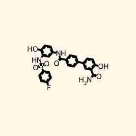 NC(=O)c1cc(-c2ccc(C(=O)Nc3ccc(O)c(NS(=O)(=O)c4ccc(F)cc4)c3)cc2)ccc1O